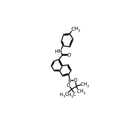 Cc1ccc(NC(=O)c2cccc3cc(B4OC(C)(C)C(C)(C)O4)ccc23)cc1